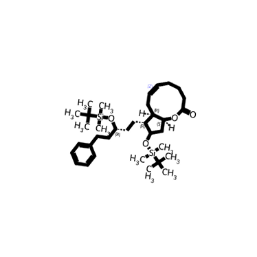 CC(C)(C)[Si](C)(C)OC1C[C@@H]2OC(=O)CCC/C=C\C[C@@H]2[C@H]1CC[C@H](CCc1ccccc1)O[Si](C)(C)C(C)(C)C